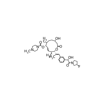 C/C(=C\c1cccc(C(O)C(=O)N2CC[C@@H](F)C2)c1)[C@H]1OC(=O)C[C@H](O)CC[C@H](C)[C@@H](OC(=O)N2CCN(C)CC2)/C=C/[C@@H]1C